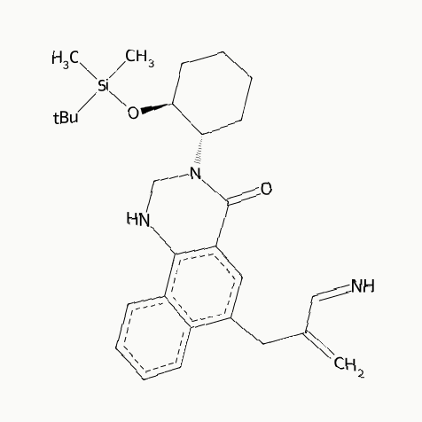 C=C(C=N)Cc1cc2c(c3ccccc13)NCN([C@H]1CCCC[C@@H]1O[Si](C)(C)C(C)(C)C)C2=O